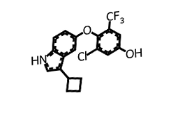 Oc1cc(Cl)c(Oc2ccc3[nH]cc(C4CCC4)c3c2)c(C(F)(F)F)c1